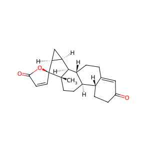 C[C@]12CC[C@H]3[C@@H](CCC4=CC(=O)CC[C@@H]43)[C@@H]1[C@@H]1C[C@@H]1[C@@]21C=CC(=O)O1